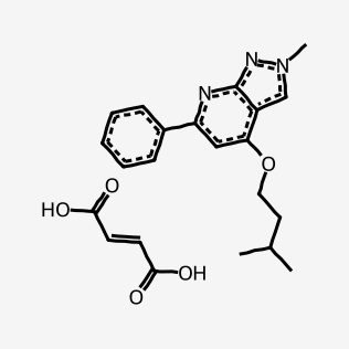 CC(C)CCOc1cc(-c2ccccc2)nc2nn(C)cc12.O=C(O)C=CC(=O)O